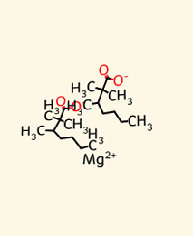 CCCCC(C)C(C)(C)C(=O)[O-].CCCCC(C)C(C)(C)C(=O)[O-].[Mg+2]